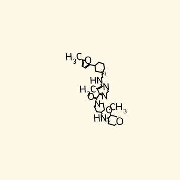 COC1COCC[C@@H]1NC1CCN(C(=O)c2ncnc(NC[C@@H]3CCCC(c4ccc(C)o4)C3)c2C)CC1